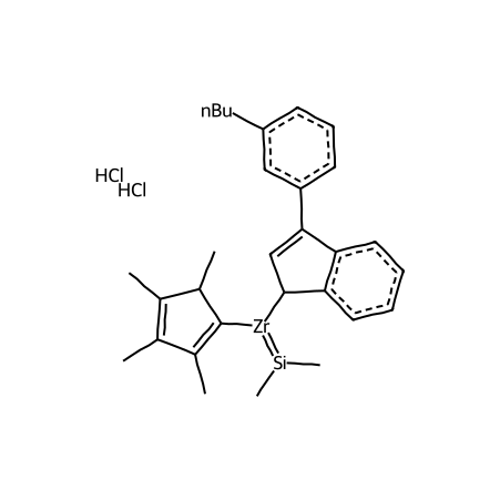 CCCCc1cccc(C2=C[CH]([Zr]([C]3=C(C)C(C)=C(C)C3C)=[Si](C)C)c3ccccc32)c1.Cl.Cl